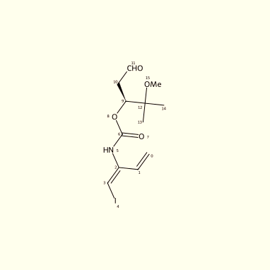 C=C/C(=C\I)NC(=O)O[C@@H](CC=O)C(C)(C)OC